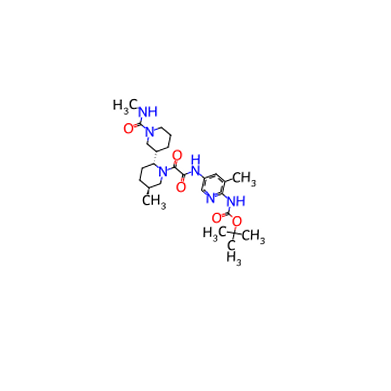 CNC(=O)N1CCCC([C@H]2CC[C@H](C)CN2C(=O)C(=O)Nc2cnc(NC(=O)OC(C)(C)C)c(C)c2)C1